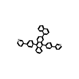 c1cncc(-c2ccc(-c3c4ccccc4c(-c4ccc(-c5cccnc5)cc4)c4cc(-c5cccc6ccccc56)ccc34)cc2)c1